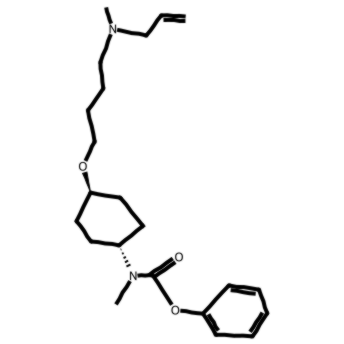 C=CCN(C)CCCCO[C@H]1CC[C@H](N(C)C(=O)Oc2ccccc2)CC1